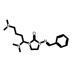 CN(C)CCCC(N(C)C)N1CCN(N=Cc2ccccc2)C1=O